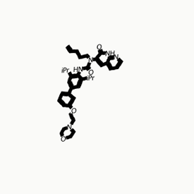 C=CCCCN(C(=O)Nc1c(C(C)C)cc(-c2cccc(OCCN3CCOCC3)c2)cc1C(C)C)c1cc2cccnc2[nH]c1=O